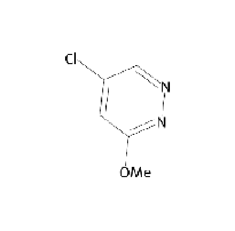 COc1cc(Cl)cnn1